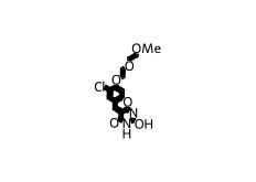 COCCOCCOc1cc2c(cc1Cl)C=C1C(=O)NC(O)N=C1O2